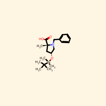 CC(C)(C)[Si](C)(C)O[C@H]1CN(Cc2ccccc2)[C@@](C)(C(=O)O)C1